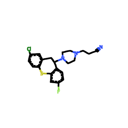 N#CCCN1CCN(C2Cc3cc(Cl)ccc3Sc3cc(F)ccc32)CC1